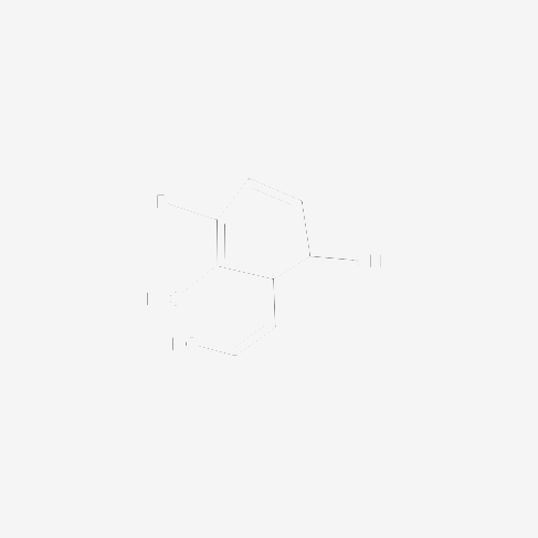 C/C=C\C1C(C)=C(F)C=CC1C